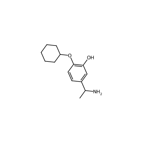 CC(N)c1ccc(OC2CCCCC2)c(O)c1